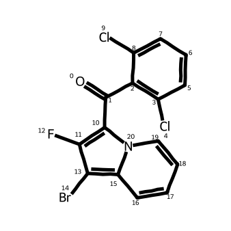 O=C(c1c(Cl)cccc1Cl)c1c(F)c(Br)c2ccccn12